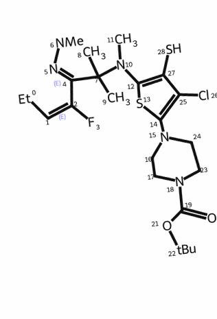 CC/C=C(F)\C(=N\NC)C(C)(C)N(C)c1sc(N2CCN(C(=O)OC(C)(C)C)CC2)c(Cl)c1S